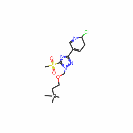 C[Si](C)(C)CCOCn1nc(C2=CCC(Cl)N=C2)nc1S(C)(=O)=O